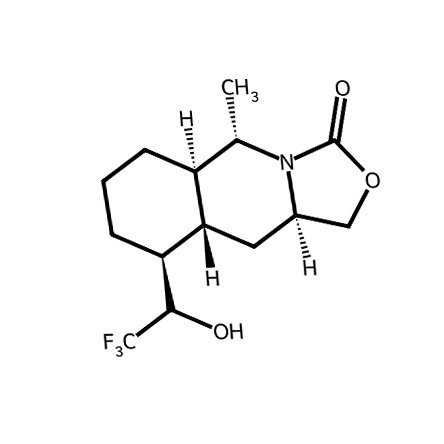 C[C@H]1[C@@H]2CCC[C@H](C(O)C(F)(F)F)[C@H]2C[C@@H]2COC(=O)N21